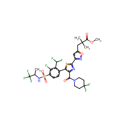 COC(=O)C(C)(C)Cc1cc(-c2nc(C(=O)N3CCC(F)(F)CC3)c(-c3ccc(S(=O)(=O)NC(C)C(F)(F)F)c(F)c3C(F)F)s2)no1